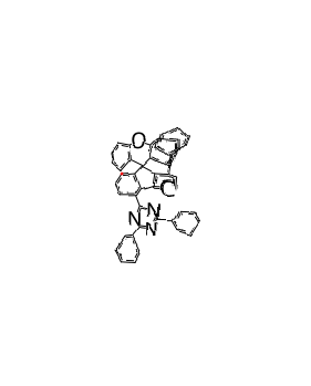 c1ccc(-c2nc(-c3ccccc3)nc(-c3cccc4c3-c3cccc(-c5ccccc5)c3C43c4ccccc4Oc4ccccc43)n2)cc1